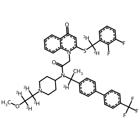 [2H]C([2H])(Sc1cc(=O)c2ccccc2n1CC(=O)N(C1CCN(C([2H])([2H])C([2H])([2H])OC)CC1)C([2H])(C)c1ccc(-c2ccc(C(F)(F)F)cc2)cc1)c1cccc(F)c1F